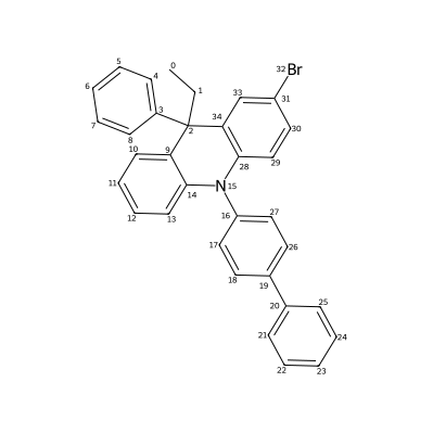 CCC1(c2ccccc2)c2ccccc2N(c2ccc(-c3ccccc3)cc2)c2ccc(Br)cc21